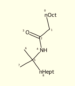 CCCCCCCCCC(=O)NC(C)(C)CCCCCCC